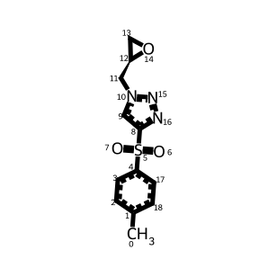 Cc1ccc(S(=O)(=O)c2cn(C[C@H]3CO3)nn2)cc1